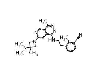 Cc1c(C#N)cccc1CCNc1nnc(C)c2cnc(N3CC(C)(N(C)C)C3)cc12